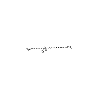 CCCCCCCCCCCCCCCCCCCC(=O)OC(C[C]=O)CCCCCCCCCCCC